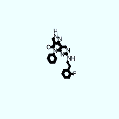 O=c1c2c[nH]nc2c2cnc(NCCc3ccccc3F)nc2n1-c1ccccc1